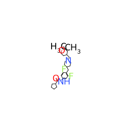 CC1(C)CC(CN2CCC(F)(Cc3ccc(NC(=O)C4CCCC4)cc3F)CC2)CCO1